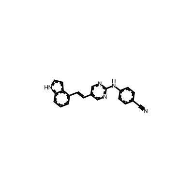 N#Cc1ccc(Nc2ncc(C=Cc3cccc4[nH]ccc34)cn2)cc1